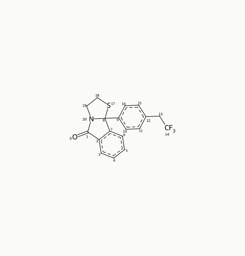 O=C1c2ccccc2C2(c3ccc(CC(F)(F)F)cc3)SCCN12